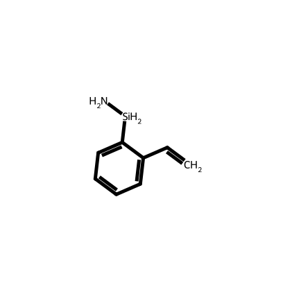 C=Cc1ccccc1[SiH2]N